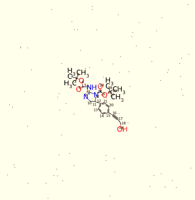 CC(C)(C)OC(=O)NC1=NCC(c2ccc(C#CCO)cc2)N1C(=O)OC(C)(C)C